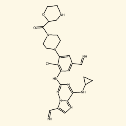 N=Cc1cc(Nc2nc(NC3CC3)c3ncc(C=N)n3n2)c(Cl)c(N2CCN(C(=O)C3CNCCO3)CC2)c1